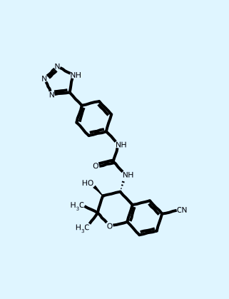 CC1(C)Oc2ccc(C#N)cc2[C@@H](NC(=O)Nc2ccc(-c3nnn[nH]3)cc2)[C@@H]1O